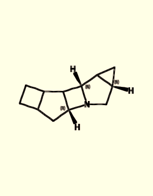 C1CC2C1C[C@@H]1C2[C@@H]2C3C[C@@H]3CN21